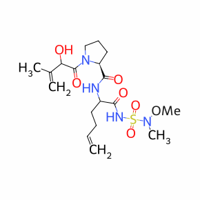 C=CCCC(NC(=O)[C@@H]1CCCN1C(=O)C(O)C(=C)C)C(=O)NS(=O)(=O)N(C)OC